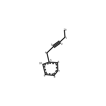 [CH2]CC#CCc1ccccc1